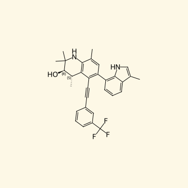 Cc1cc(-c2cccc3c(C)c[nH]c23)c(C#Cc2cccc(C(F)(F)F)c2)c2c1NC(C)(C)[C@H](O)[C@H]2C